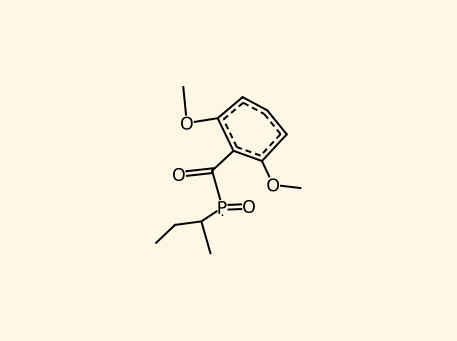 CCC(C)[P](=O)C(=O)c1c(OC)cccc1OC